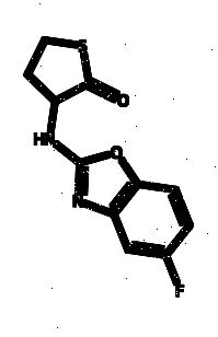 O=C1SCCC1Nc1nc2cc(F)ccc2o1